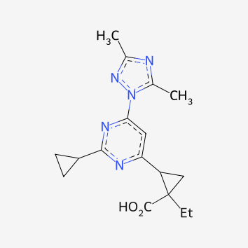 CCC1(C(=O)O)CC1c1cc(-n2nc(C)nc2C)nc(C2CC2)n1